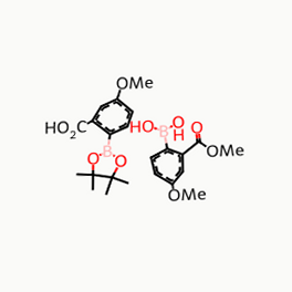 COC(=O)c1cc(OC)ccc1B(O)O.COc1ccc(B2OC(C)(C)C(C)(C)O2)c(C(=O)O)c1